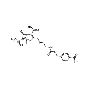 C[C@@H](O)[C@H]1C(=O)N2C(C(=O)O)=C(CSCCNC(=O)OCc3ccc([N+](=O)[O-])cc3)C[C@H]12